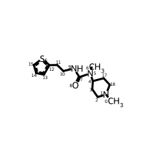 CN1CCC(N(C)C(=O)NCCc2cccs2)CC1